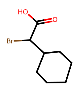 O=C(O)C(Br)C1CCCCC1